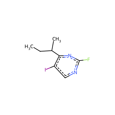 CCC(C)c1nc(F)ncc1I